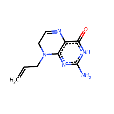 C=CCN1CC=Nc2c1nc(N)[nH]c2=O